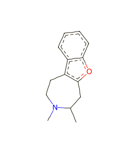 CC1Cc2oc3ccccc3c2CCN1C